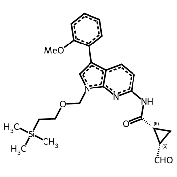 COc1ccccc1-c1cn(COCC[Si](C)(C)C)c2nc(NC(=O)[C@@H]3C[C@@H]3C=O)ccc12